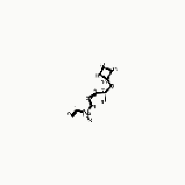 C=CN(C)C/C=C\[C@H](C)CC1CCC1